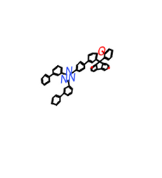 c1ccc(-c2cccc(-c3nc(-c4ccc(-c5ccc6c(c5)C5(c7ccccc7O6)c6ccccc6-c6ccccc65)cc4)nc(-c4cccc(-c5ccccc5)c4)n3)c2)cc1